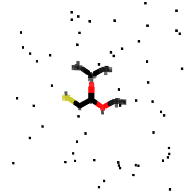 CCCCCCOC(=O)CS.CCC[CH2][Sn][CH2]CCC